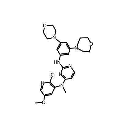 COc1cnc(Cl)c(N(C)c2ccnc(Nc3cc(N4CCOCC4)cc(N4CCOCC4)c3)n2)c1